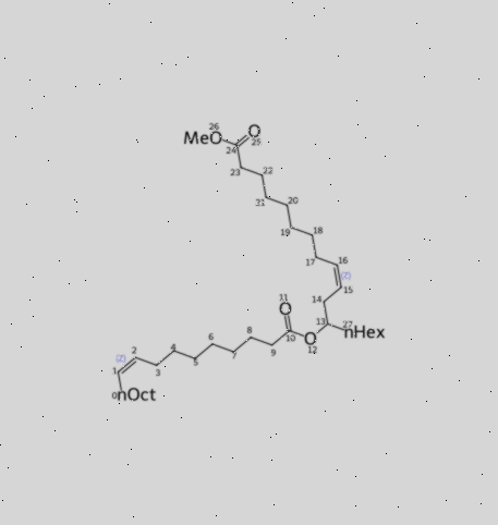 CCCCCCCC/C=C\CCCCCCCC(=O)OC(C/C=C\CCCCCCCC(=O)OC)CCCCCC